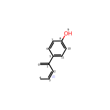 C=C(/C=C\C)c1ccc(O)cc1